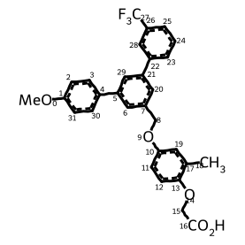 COc1ccc(-c2cc(COc3ccc(OCC(=O)O)c(C)c3)cc(-c3cccc(C(F)(F)F)c3)c2)cc1